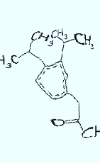 CC(=O)Cc1ccc(C(C)C)c(C(C)C)c1